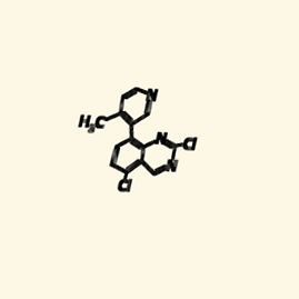 Cc1ccncc1-c1ccc(Cl)c2cnc(Cl)nc12